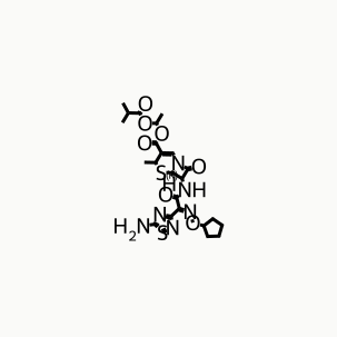 CC(OC(=O)C1=CN2C(=O)C(NC(=O)C(=NOC3CCCC3)c3nsc(N)n3)[C@H]2SC1C)OC(=O)C(C)C